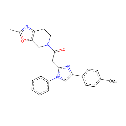 COc1ccc(-c2cn(-c3ccccc3)c(CC(=O)N3CCc4nc(C)oc4C3)n2)cc1